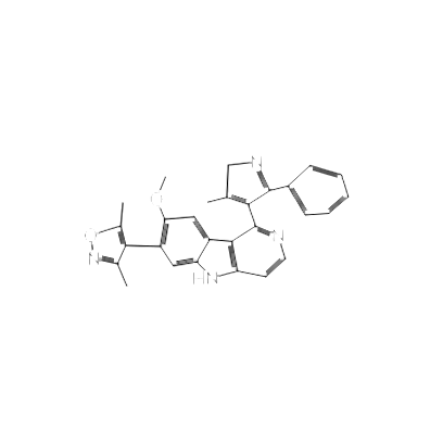 COc1cc2c(cc1-c1c(C)noc1C)[nH]c1ccnc(C3=C(C)CN=C3c3ccccc3)c12